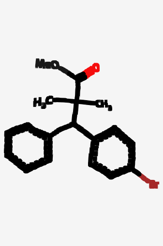 COC(=O)C(C)(C)C(c1ccccc1)c1ccc(Br)cc1